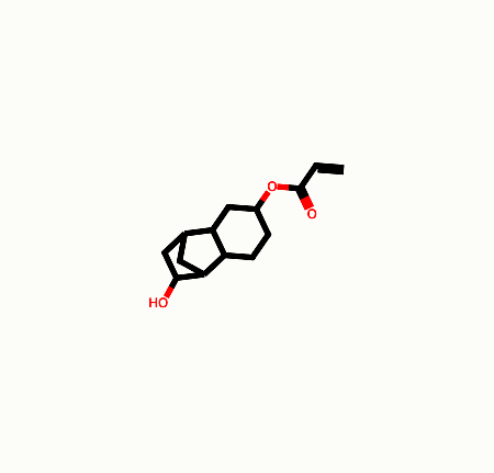 C=CC(=O)OC1CCC2C3CC(CC3O)C2C1